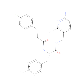 Cc1nc(N)ccc1CNC(=O)[C@H](Cc1ccc(C(F)(F)F)cc1)NC(=O)[C@H](O)Cc1ccc(F)cc1